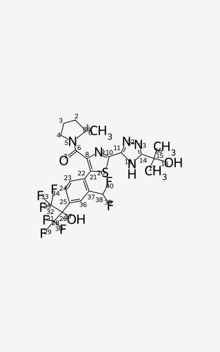 C[C@H]1CCCN1C(=O)c1nc(-c2nnc(C(C)(C)O)[nH]2)sc1-c1ccc(C(O)(C(F)(F)F)C(F)(F)F)cc1C(F)F